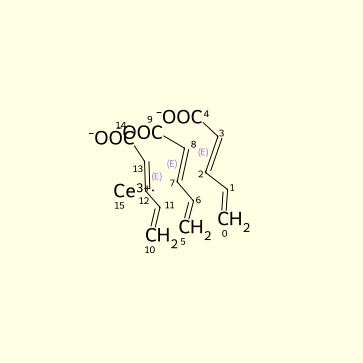 C=C/C=C/C(=O)[O-].C=C/C=C/C(=O)[O-].C=C/C=C/C(=O)[O-].[Ce+3]